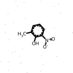 Cc1cc[c]c([N+](=O)[O-])c1O